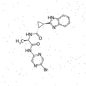 C[C@@H](NC(=O)[C@@H]1C[C@H]1c1nc2ccccc2[nH]1)C(=O)Nc1cnc(Br)cn1